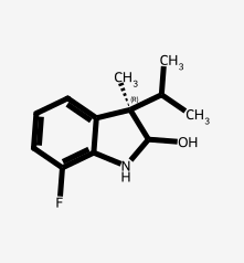 CC(C)[C@]1(C)c2cccc(F)c2NC1O